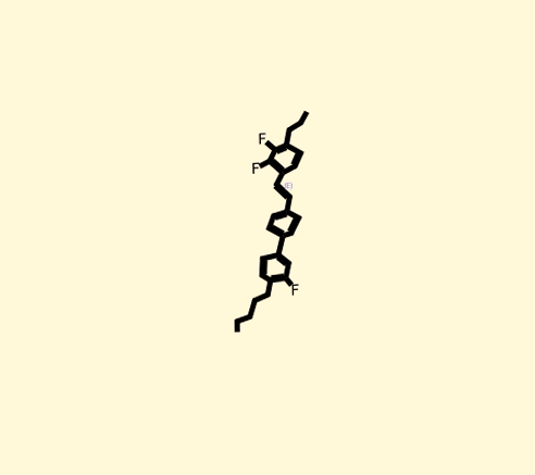 CCCCCc1ccc(-c2ccc(/C=C/c3ccc(CCC)c(F)c3F)cc2)cc1F